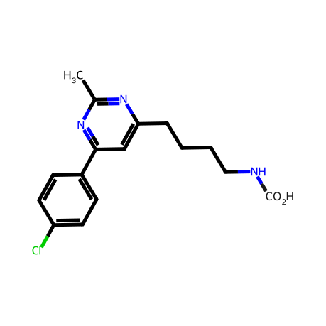 Cc1nc(CCCCNC(=O)O)cc(-c2ccc(Cl)cc2)n1